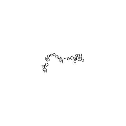 Cn1c2ccncc2c2ccc(-c3ccc(OC4CC(OC5CCN(c6ccnc(C#CCOc7ccc8c(c7)C(=O)N(C7CCC(=O)NC7=O)C8=O)n6)CC5)C4)nc3)cc21